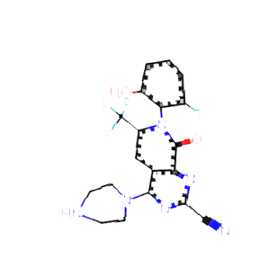 N#Cc1nc(N2CCNCC2)c2cc(C(F)(F)F)n(-c3c(O)cccc3F)c(=O)c2n1